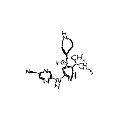 CC(C)c1nnc(Nc2cnc(C#N)cn2)cc1NCC1CCNCC1